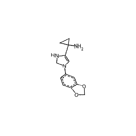 NC1(C2=CN(c3ccc4c(c3)OCO4)CN2)CC1